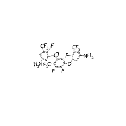 Nc1cc(Oc2cc(Oc3cc(N)cc(C(F)(F)F)c3F)c(C(F)(F)F)c(F)c2F)c(F)c(C(F)(F)F)c1